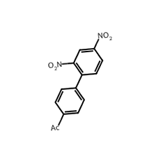 CC(=O)c1ccc(-c2ccc([N+](=O)[O-])cc2[N+](=O)[O-])cc1